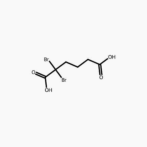 O=C(O)CCCC(Br)(Br)C(=O)O